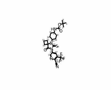 CC(C)(C)OC(=O)NC1CCC(N2C(=S)N(c3cnc(C#N)c(C(F)(F)F)c3)C(=O)C23CCC3)CC1